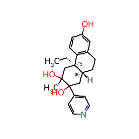 CC[C@@]12CC(C)(O)C(O)(c3ccncc3)C[C@H]1CCc1cc(O)ccc12